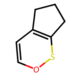 C1=CC2=C(CCC2)SO1